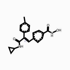 Cc1ccc(/C(=C\c2ccc(C(=O)NO)cc2)C(=O)NC2CC2)cc1